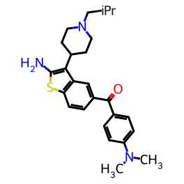 CC(C)CN1CCC(c2c(N)sc3ccc(C(=O)c4ccc(N(C)C)cc4)cc23)CC1